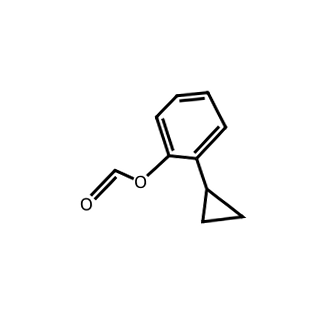 O=COc1ccccc1C1CC1